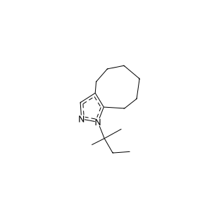 CCC(C)(C)n1ncc2c1CCCCCC2